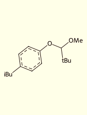 CCC(C)c1ccc(OC(OC)C(C)(C)C)cc1